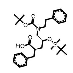 CC(C)(C)OC(=O)N(CCc1ccccc1)C[C@@H](C[C@@H](Cc1ccccc1)C(=O)O)O[Si](C)(C)C(C)(C)C